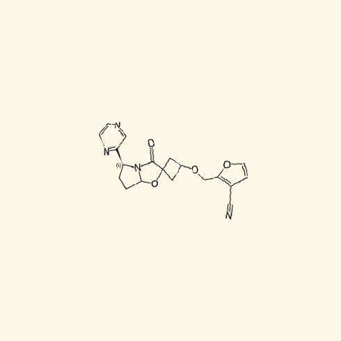 N#Cc1ccoc1COC1CC2(C1)OC1CC[C@@H](c3cnccn3)N1C2=O